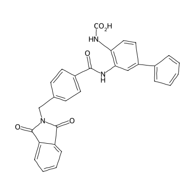 O=C(O)Nc1ccc(-c2ccccc2)cc1NC(=O)c1ccc(CN2C(=O)c3ccccc3C2=O)cc1